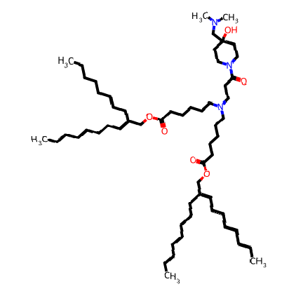 CCCCCCCCC(CCCCCCCC)COC(=O)CCCCCN(CCCCCC(=O)OCC(CCCCCCCC)CCCCCCCC)CCC(=O)N1CCC(O)(CN(C)C)CC1